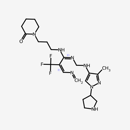 C=N/C=C(\C(=N/CNc1cn(C2CCNC2)nc1C)NCCCN1CCCCC1=O)C(F)(F)F